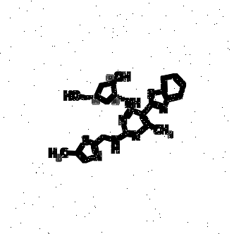 Cc1cnc(CNc2nc(C)c(-c3nc4ccccc4s3)c(N[C@@H]3C[C@H](CO)C[C@H]3O)n2)s1